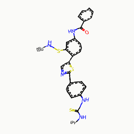 CC(C)NC(=S)Nc1ccc(-c2ncc(-c3ccc(NC(=O)c4ccccc4)cc3SNC(C)(C)C)s2)cc1